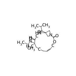 CC(C)N[C@]1(C)CCCC=CCOC(=O)N2CC(C(=O)C(C)C)(C2)NCC1=O